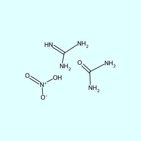 N=C(N)N.NC(N)=O.O=[N+]([O-])O